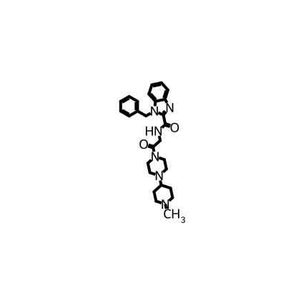 CN1CCC(N2CCN(C(=O)CNC(=O)c3nc4ccccc4n3Cc3ccccc3)CC2)CC1